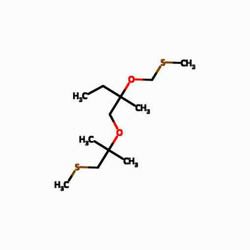 CCC(C)(COC(C)(C)CSC)OCSC